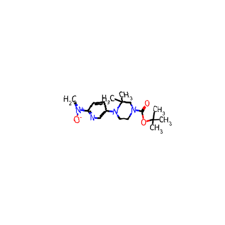 C=[N+]([O-])c1ccc(N2CCN(C(=O)OC(C)(C)C)CC2(C)C)cn1